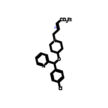 CCOC(=O)/C=C/CN1CCC(OC(c2ccc(Cl)cc2)c2ccccn2)CC1